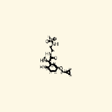 CN/C(C(=O)NCCNS(C)(=O)=O)=C1/C=C(OCC2CC2)C=CC1=N